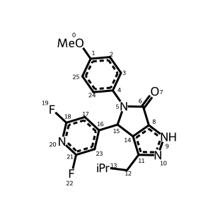 COc1ccc(N2C(=O)c3[nH]nc(CC(C)C)c3C2c2cc(F)nc(F)c2)cc1